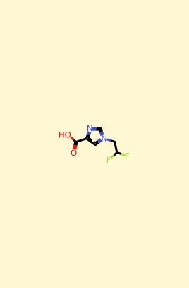 O=C(O)c1cn(CC(F)F)cn1